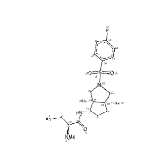 CN[C@@H](CC(C)C)C(=O)N[C@H]1CC[C@@H]2CN(S(=O)(=O)c3ccc(F)cc3)C[C@@H]21